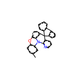 Cc1ccc2c(c1)N1c3ncccc3C3(c4ccccc4-c4ccccc43)c3cccc(c31)O2